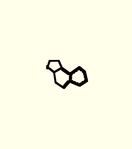 C1=c2ccccc2=C2CCSC2C1